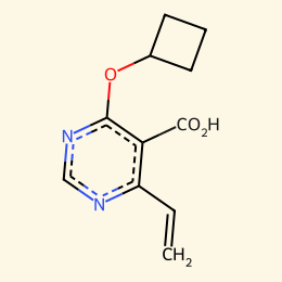 C=Cc1ncnc(OC2CCC2)c1C(=O)O